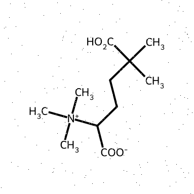 CC(C)(CCC(C(=O)[O-])[N+](C)(C)C)C(=O)O